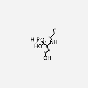 CCCNC(CCO)C(=O)O.P